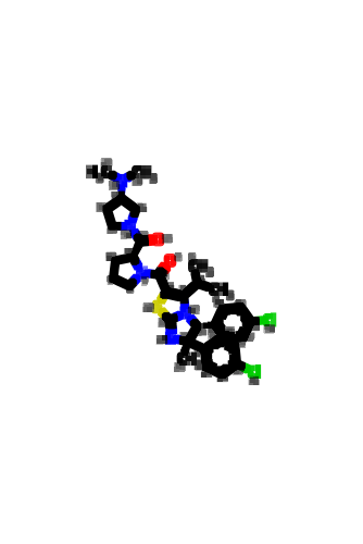 CC(C)C1=C(C(=O)N2CCC[C@H]2C(=O)N2CC[C@@H](N(C)C)C2)SC2=N[C@@](C)(c3ccc(Cl)cc3)[C@@H](c3ccc(Cl)cc3)N21